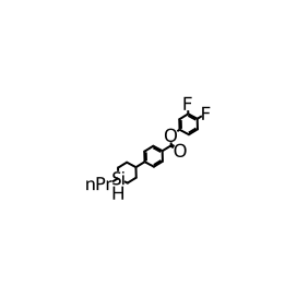 CCC[SiH]1CCC(c2ccc(C(=O)Oc3ccc(F)c(F)c3)cc2)CC1